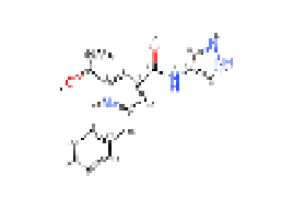 CNC(=O)c1cc(C(=O)Nc2cn[nH]c2)cc(Cc2ccccc2)n1